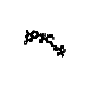 Cc1cc(=O)oc2cc(NC(=O)[C@@H](N)CCCCNC(=O)C(F)(F)F)ccc12